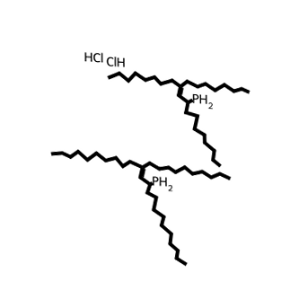 CCCCCCCCC(=CC(P)CCCCCCCC)CCCCCCCC.CCCCCCCCCCC(=CC(P)CCCCCCCCCC)CCCCCCCCCC.Cl.Cl